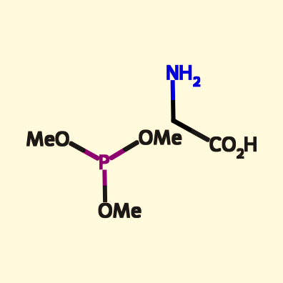 COP(OC)OC.NCC(=O)O